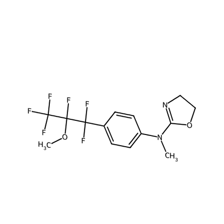 COC(F)(C(F)(F)F)C(F)(F)c1ccc(N(C)C2=NCCO2)cc1